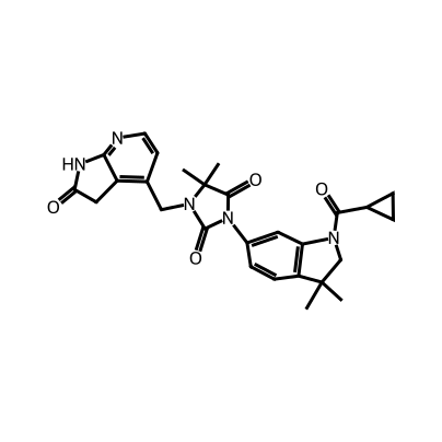 CC1(C)CN(C(=O)C2CC2)c2cc(N3C(=O)N(Cc4ccnc5c4CC(=O)N5)C(C)(C)C3=O)ccc21